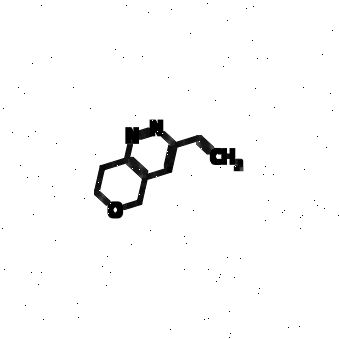 C=Cc1cc2c(nn1)CCOC2